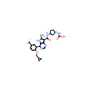 Cc1[nH]c2c(-c3cc(C(F)F)ccc3OCC3CC3)ncnc2c1C(=O)N[C@H]1CC[C@H](NC(=O)O)C1